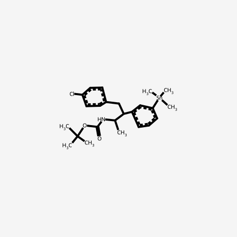 CC(NC(=O)OC(C)(C)C)C(Cc1ccc(Cl)cc1)c1ccc[c]([Sn]([CH3])([CH3])[CH3])c1